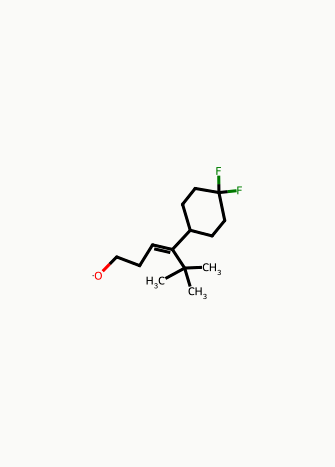 CC(C)(C)C(=CCC[O])C1CCC(F)(F)CC1